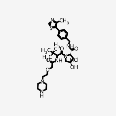 Cc1ncsc1-c1ccc(CNC(=O)[C@@H]2C[C@@H](O)CN2C(=O)C(NC(=O)COCCN2CCNCC2)C(C)(C)C)cc1.Cl